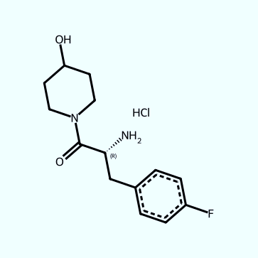 Cl.N[C@H](Cc1ccc(F)cc1)C(=O)N1CCC(O)CC1